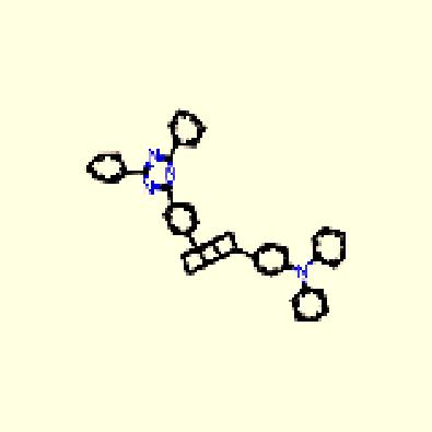 c1ccc(-c2nc(-c3ccccc3)nc(-c3ccc(C45C6C7C4C4C5C6C74c4ccc(N(c5ccccc5)c5ccccc5)cc4)cc3)n2)cc1